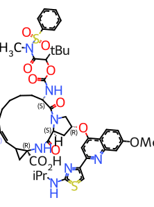 COc1ccc2c(O[C@@H]3C[C@H]4C(=O)N[C@]5(C(=O)O)CC5/C=C\CCCCC[C@H](NC(=O)OC(C(=O)N(C)S(=O)(=O)c5ccccc5)C(C)(C)C)C(=O)N4C3)cc(-c3csc(NC(C)C)n3)nc2c1